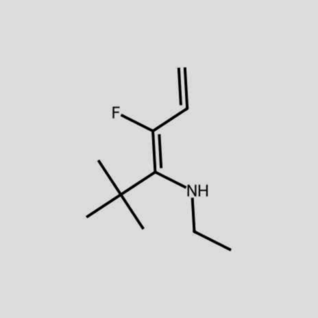 C=C/C(F)=C(\NCC)C(C)(C)C